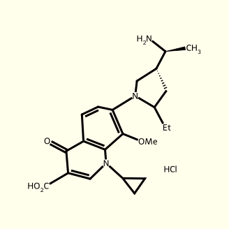 CCC1C[C@@H]([C@H](C)N)CN1c1ccc2c(=O)c(C(=O)O)cn(C3CC3)c2c1OC.Cl